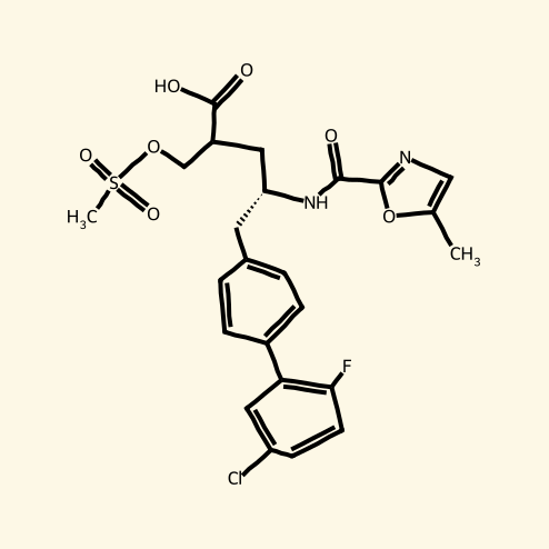 Cc1cnc(C(=O)N[C@H](Cc2ccc(-c3cc(Cl)ccc3F)cc2)CC(COS(C)(=O)=O)C(=O)O)o1